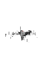 CCC(C)c1ccc(Nc2ccc(C(c3ccc(C)cc3)c3ccc(N(CC)CC)cc3)c3ccccc23)cc1